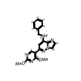 COc1ncc(-c2cc(NCc3ccccc3)c3nccn3n2)c(OC)n1